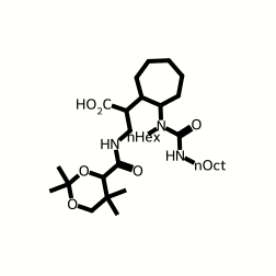 CCCCCCCCNC(=O)N(CCCCCC)C1CCCCCC1C(CNC(=O)C1OC(C)(C)OCC1(C)C)C(=O)O